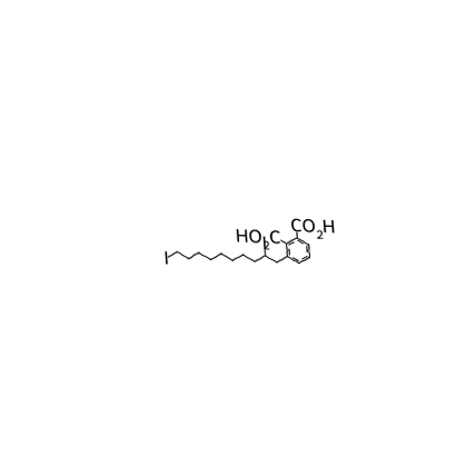 O=C(O)c1cccc(CC(I)CCCCCCCCI)c1C(=O)O